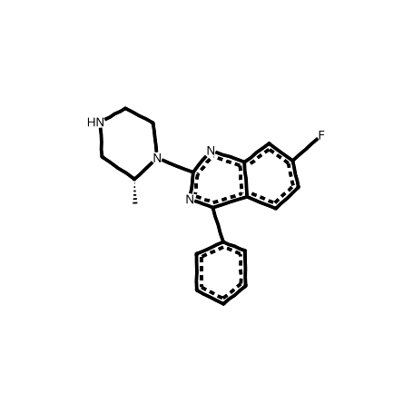 C[C@@H]1CNCCN1c1nc(-c2ccccc2)c2ccc(F)cc2n1